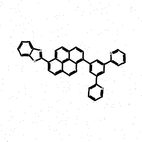 c1ccc(-c2cc(-c3ccccn3)cc(-c3ccc4ccc5c(-c6nc7ccccc7s6)ccc6ccc3c4c65)c2)nc1